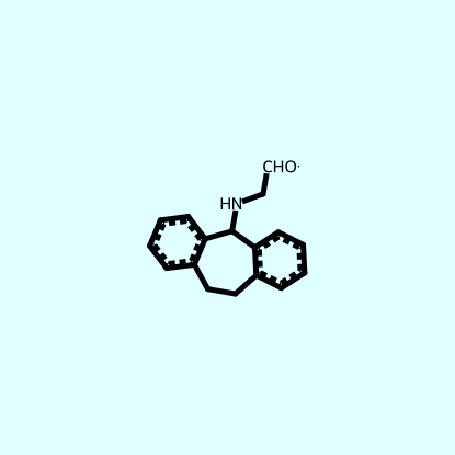 O=[C]CNC1c2ccccc2CCc2ccccc21